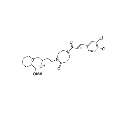 COCC1CCCCN1CC(O)CCN1CCN(C(=O)/C=C/c2ccc(Cl)c(Cl)c2)CCC1=O